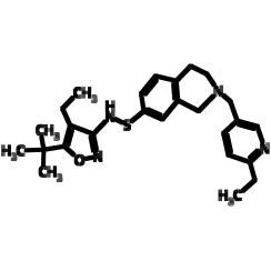 CCc1ccc(CN2CCc3ccc(SNc4noc(C(C)(C)C)c4CC)cc3C2)cn1